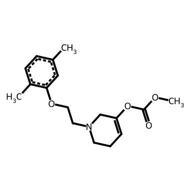 COC(=O)OC1=CCCN(CCOc2cc(C)ccc2C)C1